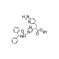 CC(C)OC(=O)C(Cc1ccc(N)nc1)c1cn(CC(=O)NC(c2ccccc2)c2ccccc2)cn1